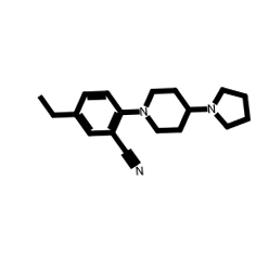 CCc1ccc(N2CCC(N3CCCC3)CC2)c(C#N)c1